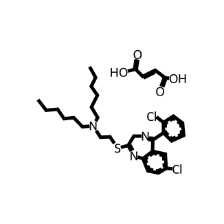 CCCCCCN(CCCCCC)CCSC1=Nc2ccc(Cl)cc2C(c2ccccc2Cl)=NC1.O=C(O)C=CC(=O)O